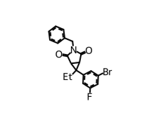 CCC1(c2cc(F)cc(Br)c2)C2C(=O)N(Cc3ccccc3)C(=O)C21